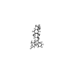 COCN(C(=O)OC)c1ccccc1CSC1=Nc2cc(C(F)(F)F)ccc2OC1